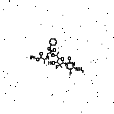 CC(C)OC(=O)[C@H](C)/N=C/P(=O)(Oc1ccccc1)O[C@@H](C)[C@H]1O[C@@H](n2cc(F)c(N)nc2=O)C(C)(F)[C@H]1O